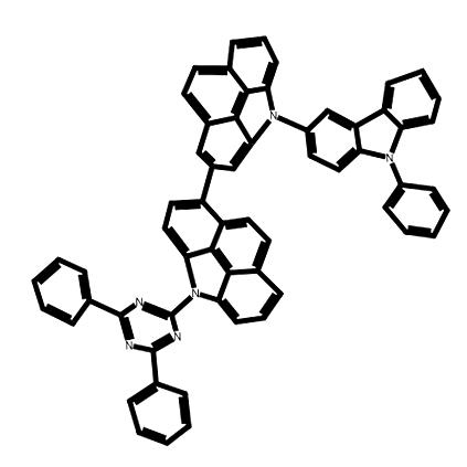 c1ccc(-c2nc(-c3ccccc3)nc(-n3c4cccc5ccc6c(-c7cc8ccc9cccc%10c9c8c(c7)n%10-c7ccc8c(c7)c7ccccc7n8-c7ccccc7)ccc3c6c54)n2)cc1